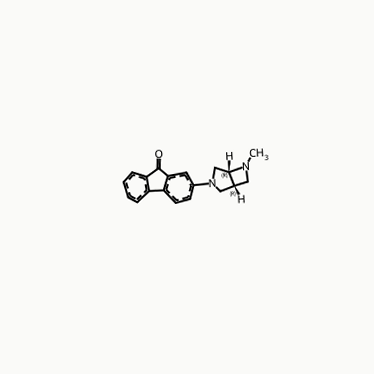 CN1C[C@@H]2CN(c3ccc4c(c3)C(=O)c3ccccc3-4)C[C@@H]21